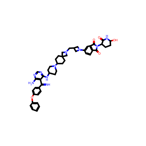 N=C(c1ccc(Oc2ccccc2)cc1)c1c(N)ncnc1NC1CCN(C2CCC3(CC2)CN(CC2CN(c4ccc5c(c4)C(=O)N(C4CCC(O)NC4=O)C5=O)C2)C3)CC1